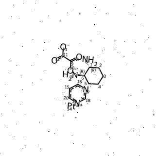 N[C@@H]1CCCC[C@H]1N.O=C([O-])C(=O)[O-].[Pt+2].c1cncnc1